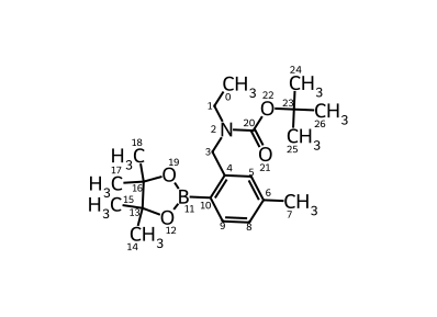 CCN(Cc1cc(C)ccc1B1OC(C)(C)C(C)(C)O1)C(=O)OC(C)(C)C